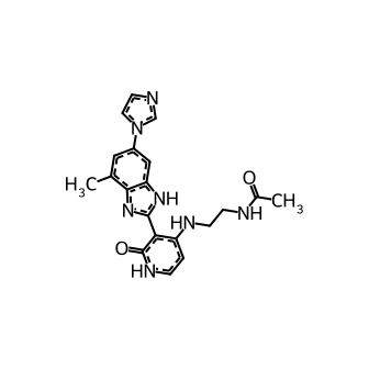 CC(=O)NCCNc1cc[nH]c(=O)c1-c1nc2c(C)cc(-n3ccnc3)cc2[nH]1